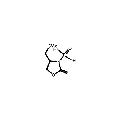 CSCC1COC(=O)N1P(=O)(O)S